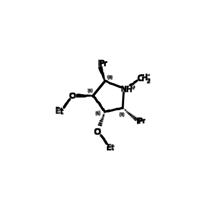 [CH2-][NH+]1[C@H](C(C)C)[C@H](OCC)[C@@H](OCC)[C@H]1C(C)C